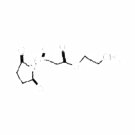 CCCOC(=O)[CH2][Co](=[O])[N]1C(=O)CCC1=O